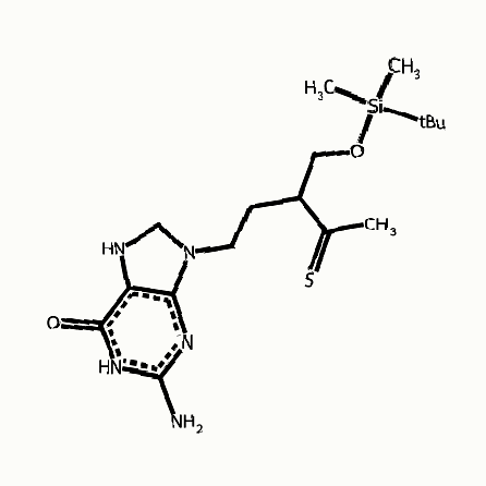 CC(=S)C(CCN1CNc2c1nc(N)[nH]c2=O)CO[Si](C)(C)C(C)(C)C